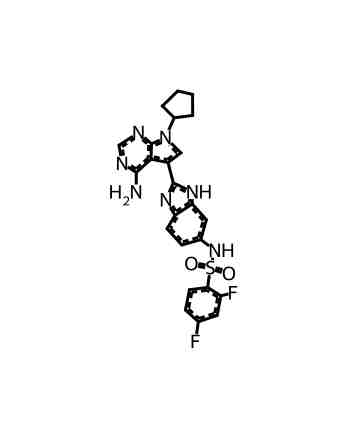 Nc1ncnc2c1c(-c1nc3ccc(NS(=O)(=O)c4ccc(F)cc4F)cc3[nH]1)cn2C1CCCC1